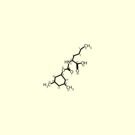 CCCCC(NC(=O)OC1CC(C)CC(C)C1)C(=O)O